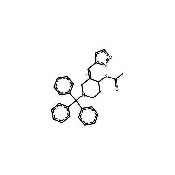 CC(=O)SC1CCN(C(c2ccccc2)(c2ccccc2)c2ccccc2)C/C1=C/c1ccon1